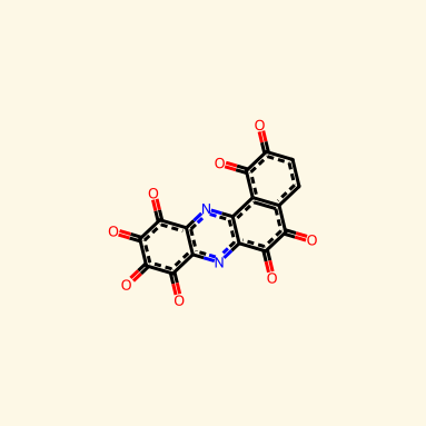 O=c1ccc2c(=O)c(=O)c3nc4c(=O)c(=O)c(=O)c(=O)c4nc3c=2c1=O